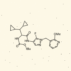 COc1ncccc1Cn1ncc(NC(=O)C(NC(=O)OC(C)(C)C)C(C2CC2)C2CC2)c1F